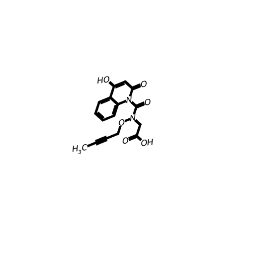 CC#CCON(CC(=O)O)C(=O)n1c(=O)cc(O)c2ccccc21